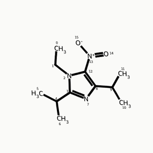 CCn1c(C(C)C)nc(C(C)C)c1[N+](=O)[O-]